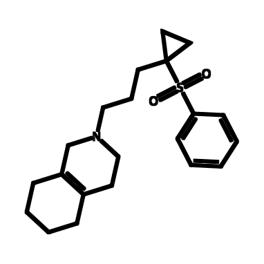 O=S(=O)(c1ccccc1)C1(CCCN2CCC3=C(CCCC3)C2)CC1